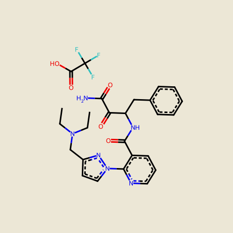 CCN(CC)Cc1ccn(-c2ncccc2C(=O)NC(Cc2ccccc2)C(=O)C(N)=O)n1.O=C(O)C(F)(F)F